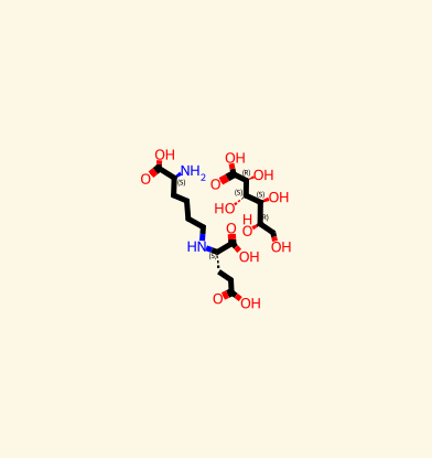 N[C@@H](CCCCN[C@@H](CCC(=O)O)C(=O)O)C(=O)O.O=C(O)[C@H](O)[C@@H](O)[C@@H](O)[C@H](O)CO